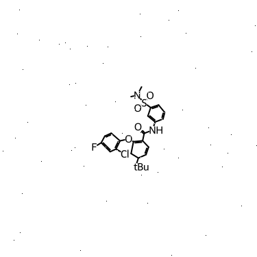 CN(C)S(=O)(=O)c1cccc(NC(=O)C2=C(Oc3ccc(F)cc3Cl)CC(C(C)(C)C)C=C2)c1